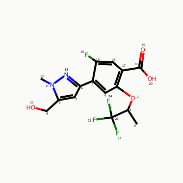 CC(Oc1cc(-c2cc(CO)n(C)n2)c(F)cc1C(=O)O)C(F)(F)F